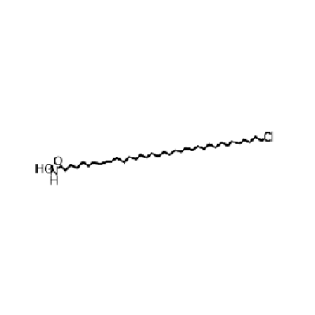 O=C(CCCCCCCCCCCCCCCCCCCCCCCCCCCCCCCCCCCCl)NO